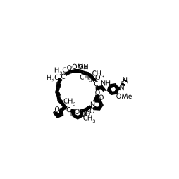 CO[C@@H]1C[C@H](C[C@@H](N)[C@@H]2CC(=O)[C@H](C)/C=C(\C)[C@@H](O)[C@@H](OC)C(=O)[C@H](C)C[C@H](C)/C=C/C=C/C=C(\C)C(c3ccco3)C[C@@H]3CC[C@@H](C)[C@@](O)(O3)C(=O)C(=O)N3CCCC[C@H]3C(=O)O2)CCC1N=[N+]=[N-]